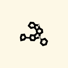 c1ccc(-c2ccc3c(c2)c2c4c(ccc2n3-c2ccccc2)sc2ccccc24)cc1